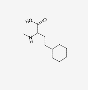 CNC(CCC1CCCCC1)C(=O)O